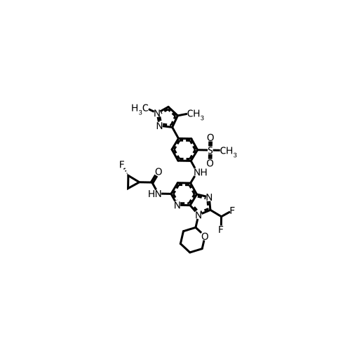 Cc1cn(C)nc1-c1ccc(Nc2cc(NC(=O)C3C[C@@H]3F)nc3c2nc(C(F)F)n3C2CCCCO2)c(S(C)(=O)=O)c1